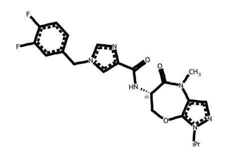 CC(C)n1ncc2c1OC[C@H](NC(=O)c1cn(Cc3ccc(F)c(F)c3)cn1)C(=O)N2C